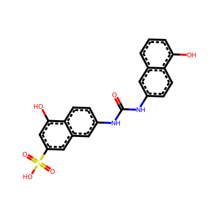 O=C(Nc1ccc2c(O)cccc2c1)Nc1ccc2c(O)cc(S(=O)(=O)O)cc2c1